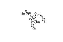 CC(C)(C)OC(=O)NCCCc1cc(C(=O)N2CCN(Cc3ccc(F)cc3)CC2)cnc1C(=O)N(Cc1ccc(C#N)cc1)C1CCNCC1